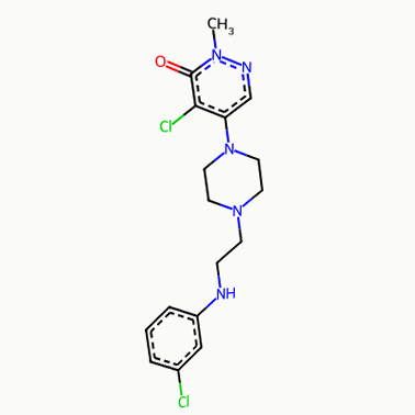 Cn1ncc(N2CCN(CCNc3cccc(Cl)c3)CC2)c(Cl)c1=O